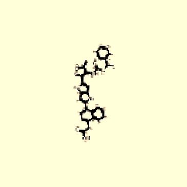 Cc1nsc(-c2cc3sc(-c4ccc(CC(=O)O)c5ccccc45)cc3s2)c1NC(=O)O[C@H](C)c1ccccc1